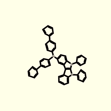 c1ccc(-c2ccc(N(c3ccc(-c4ccccc4)cc3)c3ccc4c(c3)c3c5ccccc5n(-c5ccccc5)c3n4-c3ccccc3)cc2)cc1